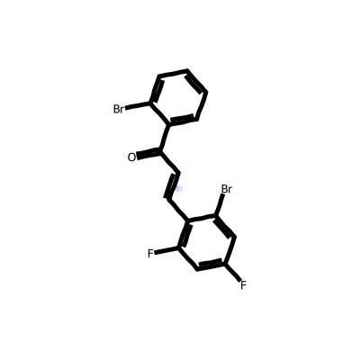 O=C(/C=C/c1c(F)cc(F)cc1Br)c1ccccc1Br